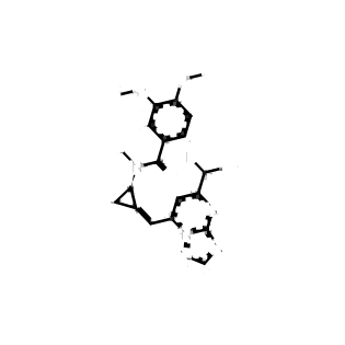 COc1ccc(C(=O)N(C)[C@@H]2C/C2=C/c2cc(C(F)F)nc3ncnn23)cc1OC